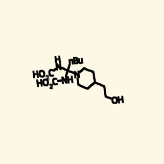 CCCCC(NC(=O)O)(NC(=O)O)N1CCC(CCO)CC1